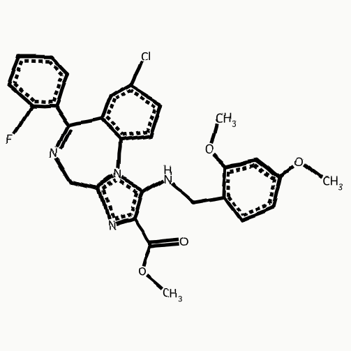 COC(=O)c1nc2n(c1NCc1ccc(OC)cc1OC)-c1ccc(Cl)cc1C(c1ccccc1F)=NC2